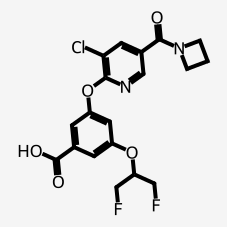 O=C(O)c1cc(Oc2ncc(C(=O)N3CCC3)cc2Cl)cc(OC(CF)CF)c1